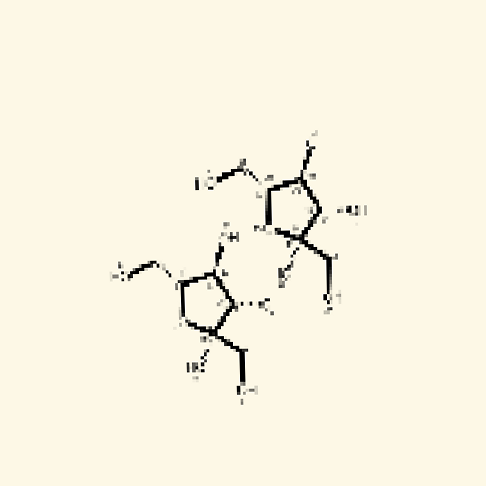 OC[C@H]1O[C@](O)(CO)[C@@H](O)[C@@H]1O.OC[C@H]1O[C@](O)(CO)[C@@H](O)[C@@H]1O